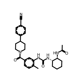 CC(=O)N[C@H]1CCCC[C@@H]1NC(=O)Nc1cc(C(=O)N2CCC(c3ccc(C#N)cc3)CC2)ccc1C